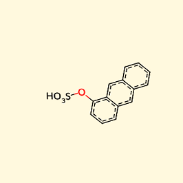 O=S(=O)(O)Oc1cccc2cc3ccccc3cc12